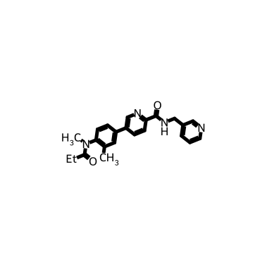 CCC(=O)N(C)c1ccc(-c2ccc(C(=O)NCc3cccnc3)nc2)cc1C